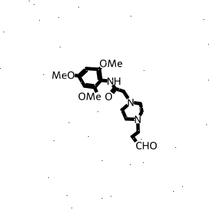 COc1cc(OC)c(NC(=O)CN2CCN(CCC=O)CC2)c(OC)c1